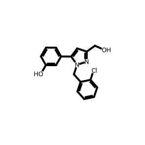 OCc1cc(-c2cccc(O)c2)n(Cc2ccccc2Cl)n1